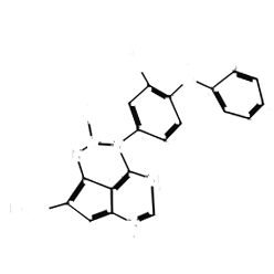 O=C(O)c1cc2nc[nH]c3c2c1[nH][s+]([O-])n3-c1ccc(Oc2ccccc2)c(F)c1